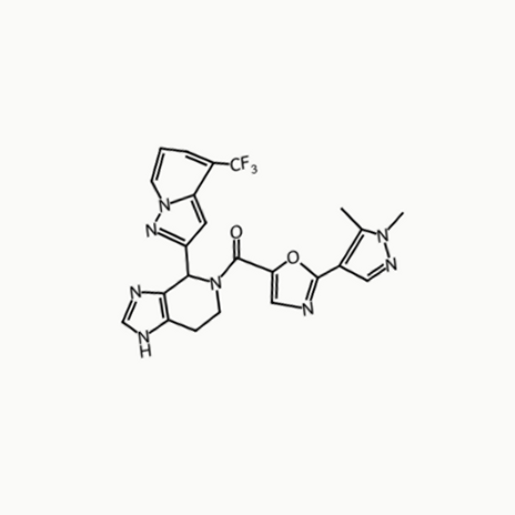 Cc1c(-c2ncc(C(=O)N3CCc4[nH]cnc4C3c3cc4c(C(F)(F)F)cccn4n3)o2)cnn1C